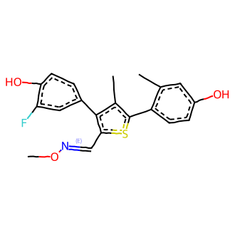 CO/N=C/c1sc(-c2ccc(O)cc2C)c(C)c1-c1ccc(O)c(F)c1